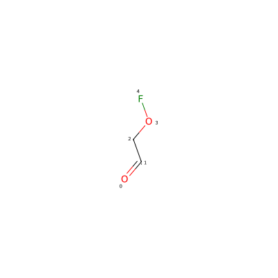 O=[C]COF